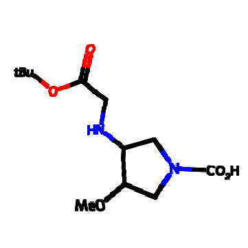 COC1CN(C(=O)O)CC1NCC(=O)OC(C)(C)C